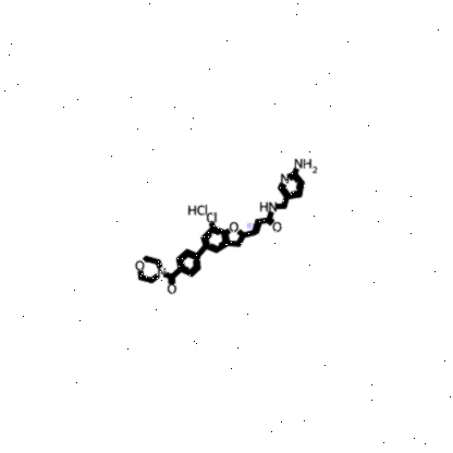 Cl.Nc1ccc(CNC(=O)/C=C/C2Cc3cc(-c4ccc(C(=O)N5CCOCC5)cc4)cc(Cl)c3O2)cn1